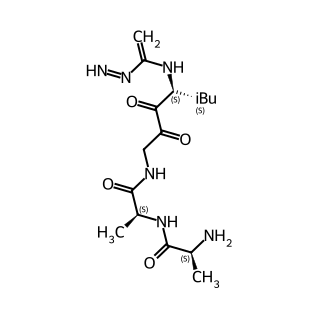 C=C(N=N)N[C@H](C(=O)C(=O)CNC(=O)[C@H](C)NC(=O)[C@H](C)N)[C@@H](C)CC